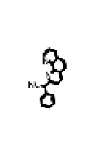 N#CC(c1ccccc1)c1ccc2ccc3cccnc3c2n1